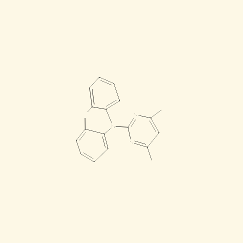 Clc1cc(Cl)nc(N2c3ccccc3Sc3ccccc32)n1